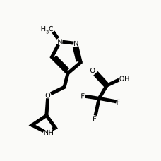 Cn1cc(COC2CNC2)cn1.O=C(O)C(F)(F)F